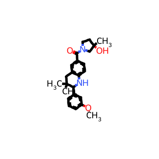 COc1cccc(C2Nc3ccc(C(=O)N4CCC(C)(O)C4)cc3CC2(C)C)c1